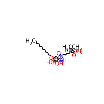 CCCCCCCCCCCCO[C@@H]1C[C@H](C(=O)NCCCC[C@H](NC(C)(C)C)C(=O)O)[C@@H](O)[C@H](O)[C@H]1O